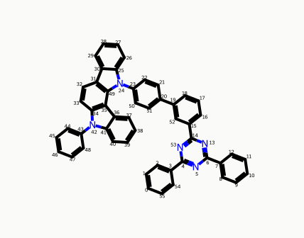 c1ccc(-c2nc(-c3ccccc3)nc(-c3cccc(-c4ccc(-n5c6ccccc6c6ccc7c(c8ccccc8n7-c7ccccc7)c65)cc4)c3)n2)cc1